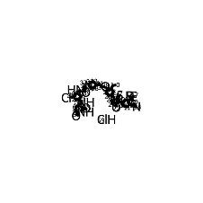 CCc1cc(N2C(=S)N(c3ccc(C#N)c(C(F)(F)F)c3)C(=O)C2(C)C)ccc1OCCC1CCN([C@H](C)C(=O)Nc2cc(Cl)cc(NC3CCC(=O)NC3=O)c2)CC1.Cl